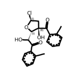 Cc1ccccc1C(=O)C(O)[C@@H]1O[C@@H](Cl)C[C@]1(O)C(=O)c1ccccc1C